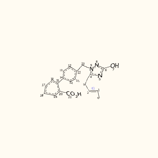 C/C=C/Cc1nc(O)nn1Cc1ccc(-c2ccccc2C(=O)O)cc1